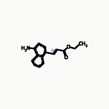 CCOC(=O)/C=C/c1ccc(N)c2ccccc12